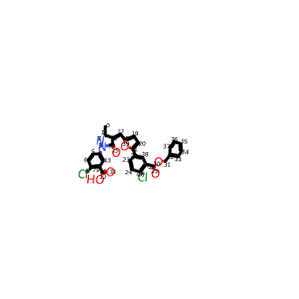 CC1=NN(c2ccc(Cl)c(C(=O)O)c2)C(=O)/C1=C\c1ccc(-c2ccc(Cl)c(C(=O)OCc3ccccc3)c2)o1